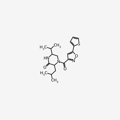 CC(C)CC1C(=O)NC(C(C)C)CN1C(=O)c1cc(-c2cccs2)on1